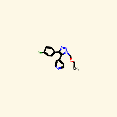 CCOCn1nnc(-c2ccc(F)cc2)c1-c1ccncc1